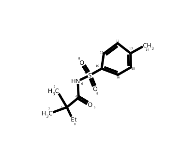 CCC(C)(C)C(=O)NS(=O)(=O)c1ccc(C)cc1